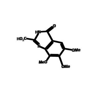 COc1cc2c(=O)[nH]c(C(=O)O)nc2c(OC)c1OC